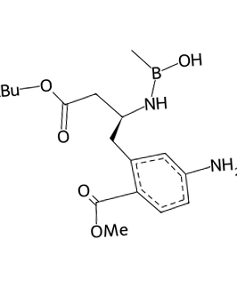 COC(=O)c1ccc(N)cc1C[C@@H](CC(=O)OC(C)(C)C)NB(C)O